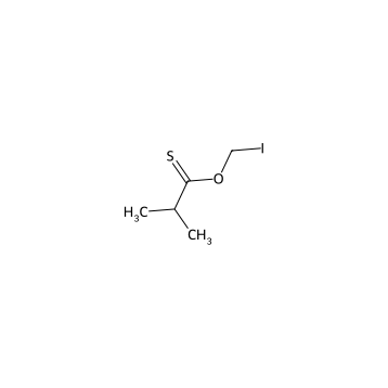 CC(C)C(=S)OCI